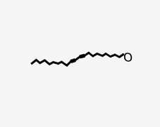 CCCCCCCCCC#CC#CCCCCCCCCC=O